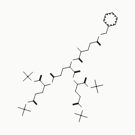 CC(C)(C)OC(=O)CCC(NC(=O)CCC(NC(=O)C(N)CCC(=O)OCc1ccccc1)C(=O)NC(CCC(=O)OC(C)(C)C)C(=O)OC(C)(C)C)C(=O)OC(C)(C)C